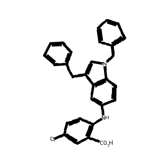 O=C(O)c1cc(Cl)ccc1Nc1ccc2c(c1)c(Cc1ccccc1)cn2Cc1ccccc1